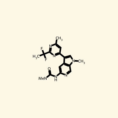 CNC(=O)Nc1cc2c(-c3cc(C)nc(C(C)(F)F)n3)cn(C)c2cn1